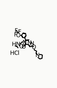 CC(C)NC(=O)Cn1c(-c2cccc(OC(F)(F)F)c2)cn2nc(OCCCN3CCCCC3)cc2c1=O.Cl